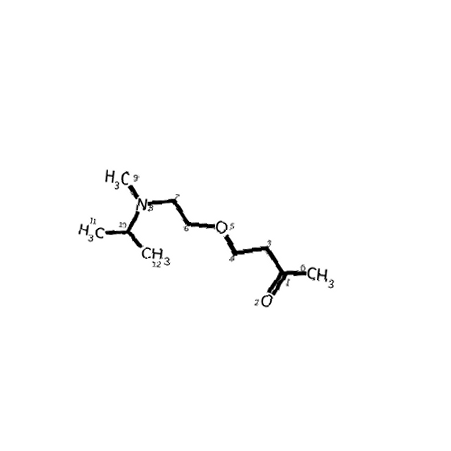 CC(=O)CCOCCN(C)C(C)C